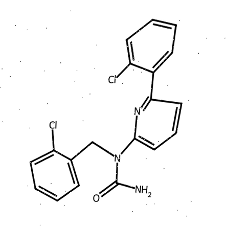 NC(=O)N(Cc1ccccc1Cl)c1cccc(-c2ccccc2Cl)n1